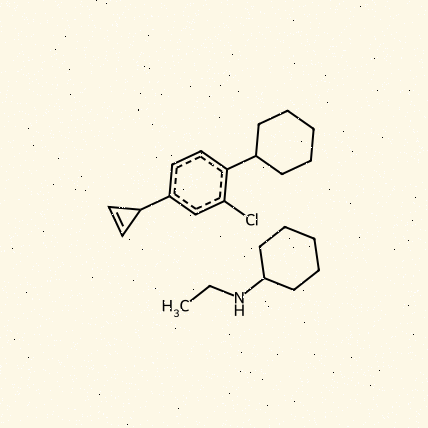 CCNC1CCCCC1.Clc1cc(C2C=C2)ccc1C1CCCCC1